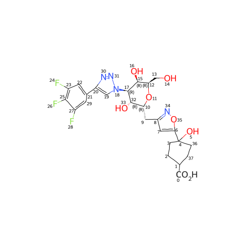 O=C(O)C1CCC(O)(c2cc(C[C@H]3O[C@H](CO)[C@H](O)[C@H](n4cc(-c5cc(F)c(F)c(F)c5)nn4)[C@H]3O)no2)CC1